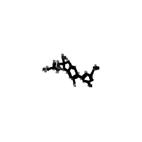 CC(C)COc1cc(Cl)cc(-c2cc3c(cc2F)[C@H](OC(N)=O)C(C)(C)C3)c1